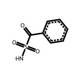 [NH]S(=O)(=O)C(=O)c1ccccc1